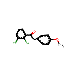 COc1ccc(CC(=O)c2cccc(Cl)c2Cl)cc1